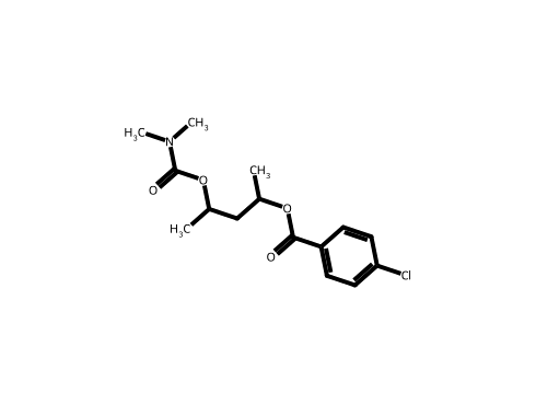 CC(CC(C)OC(=O)N(C)C)OC(=O)c1ccc(Cl)cc1